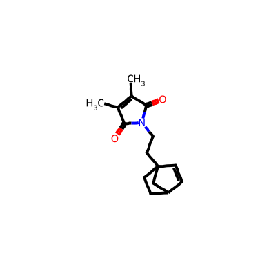 CC1=C(C)C(=O)N(CCC23C=CC(CC2)C3)C1=O